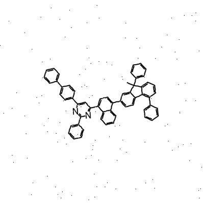 CC1(c2ccccc2)c2cc(-c3ccc(-c4cc(-c5ccc(-c6ccccc6)cc5)nc(-c5ccccc5)n4)c4ccccc34)ccc2-c2c(-c3ccccc3)cccc21